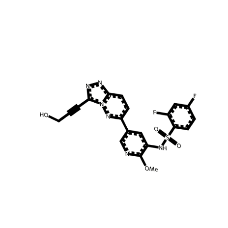 COc1ncc(-c2ccc3nnc(C#CCO)n3n2)cc1NS(=O)(=O)c1ccc(F)cc1F